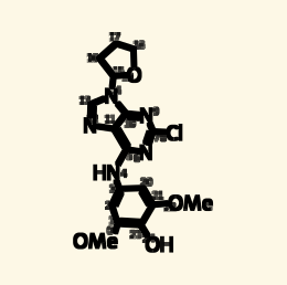 COc1cc(Nc2nc(Cl)nc3c2ncn3C2CCCO2)cc(OC)c1O